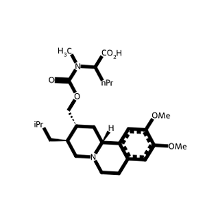 CCCC(C(=O)O)N(C)C(=O)OC[C@@H]1C[C@@H]2c3cc(OC)c(OC)cc3CCN2C[C@H]1CC(C)C